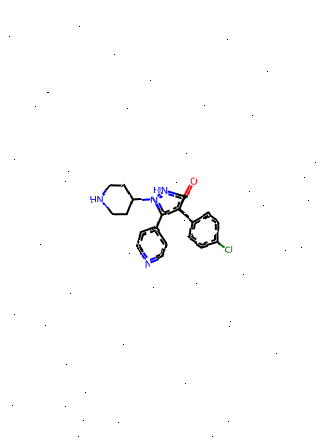 O=c1[nH]n(C2CCNCC2)c(-c2ccncc2)c1-c1ccc(Cl)cc1